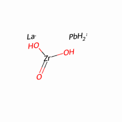 [La].[O]=[Zr]([OH])[OH].[PbH2]